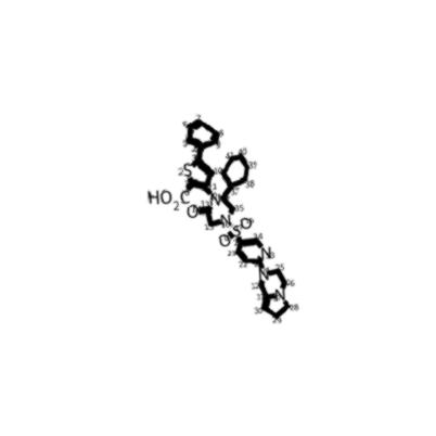 O=C(O)c1sc(-c2ccccc2)cc1N1C(=O)CN(S(=O)(=O)c2ccc(N3CCN4CCC=C4C3)nc2)CC1C1CCCCC1